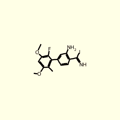 COc1cc(OC)c(F)c(-c2ccc(C(=N)I)c(N)c2)c1C